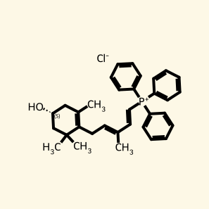 CC(C=C[P+](c1ccccc1)(c1ccccc1)c1ccccc1)=CCC1=C(C)C[C@@H](O)CC1(C)C.[Cl-]